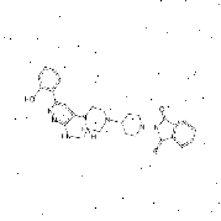 O=C1c2ccccc2C(=O)N1N1CCC(N2CCN3c4cc(-c5ccccc5O)nnc4NC[C@H]3C2)CC1